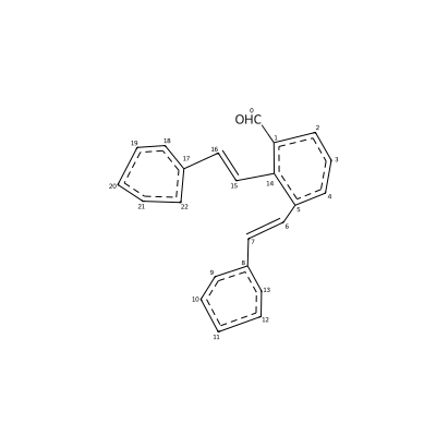 O=Cc1cccc(C=Cc2ccccc2)c1C=Cc1ccccc1